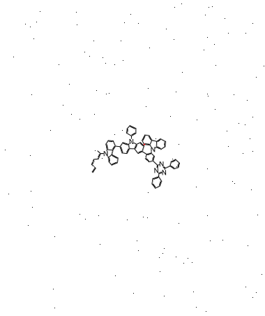 C=C/C=C\C=C(/C)n1c2ccccc2c2c(-c3ccc4c5cc(-c6ccc(-c7nc(-c8ccccc8)nc(-c8ccccc8)n7)cc6-n6c7ccccc7c7ccccc76)ccc5n(-c5ccccc5)c4c3)cccc21